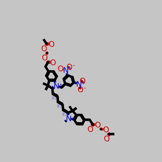 CC(=O)OCOC(=O)Cc1ccc2c(c1)C(C)(C)C(/C=C/C=C/C=C1/N(C)c3ccc(CC(=O)OCOC(C)=O)cc3C1(C)C)=[N+]2Cc1cc([N+](=O)[O-])cc([N+](=O)[O-])c1